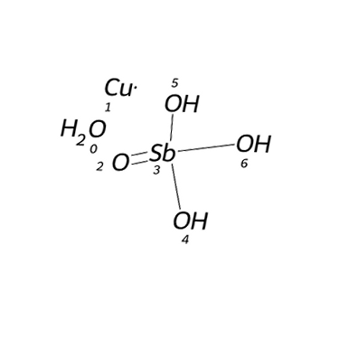 O.[Cu].[O]=[Sb]([OH])([OH])[OH]